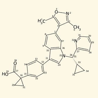 Cc1noc(C)c1-c1ccc2c(-c3ccc(C4(C(=O)O)CC4)cc3)cn([C@H](c3ccccn3)C3CC3)c2c1